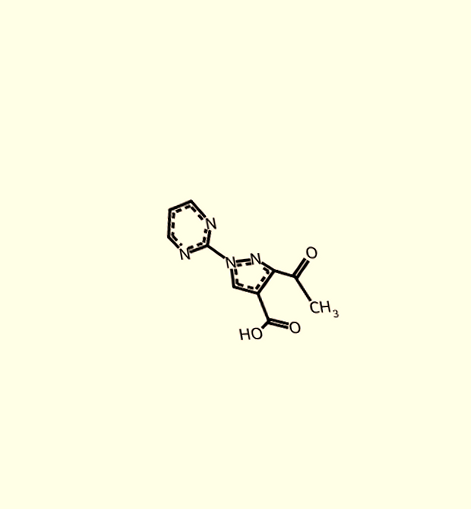 CC(=O)c1nn(-c2ncccn2)cc1C(=O)O